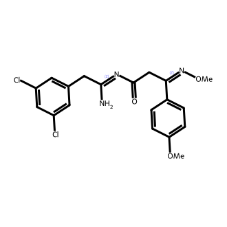 CO/N=C(/CC(=O)/N=C(\N)Cc1cc(Cl)cc(Cl)c1)c1ccc(OC)cc1